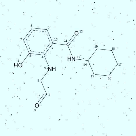 O=CCNc1c(O)cccc1C(=O)NC1CCCCC1